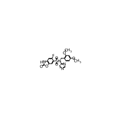 COc1ccc(CN(c2ncns2)S(=O)(=O)c2cc3oc(=O)[nH]c3cc2F)c(OC)c1